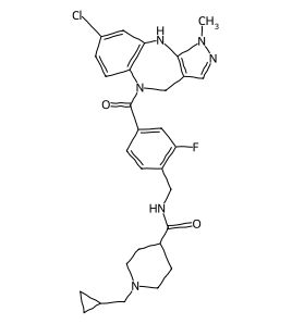 Cn1ncc2c1Nc1cc(Cl)ccc1N(C(=O)c1ccc(CNC(=O)C3CCN(CC4CC4)CC3)c(F)c1)C2